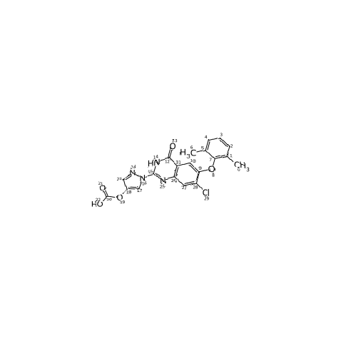 Cc1cccc(C)c1Oc1cc2c(=O)[nH]c(-n3cc(OC(=O)O)cn3)nc2cc1Cl